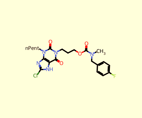 CCCCCn1c(=O)n(CCCOC(=O)N(C)Cc2ccc(F)cc2)c(=O)c2[nH]c(Cl)nc21